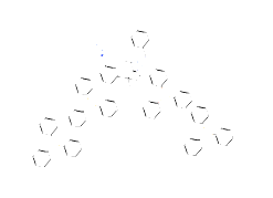 CC12CCN(Cc3ccccc3)C(Cc3c(C#N)cccc31)C2(C)C.[Pd].c1ccc(P(c2ccccc2)c2ccccc2)cc1.c1ccc(P(c2ccccc2)c2ccccc2)cc1.c1ccc(P(c2ccccc2)c2ccccc2)cc1.c1ccc(P(c2ccccc2)c2ccccc2)cc1